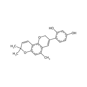 Cc1cc2c(c3c1C=C(c1ccc(O)cc1O)CO3)C=CC(C)(C)O2